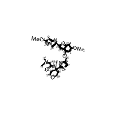 COc1cc(OCc2csc(C3(NC(=O)CN(C)C)CCOCC3)n2)c2cc(-c3cn4nc(OC)sc4n3)oc2c1